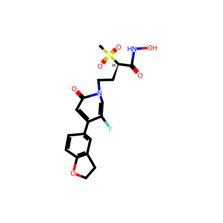 CS(=O)(=O)[C@H](CCn1cc(F)c(-c2ccc3c(c2)CCO3)cc1=O)C(=O)NO